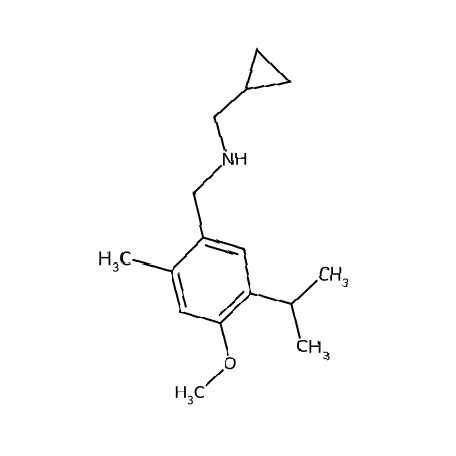 COc1cc(C)c(CNCC2CC2)cc1C(C)C